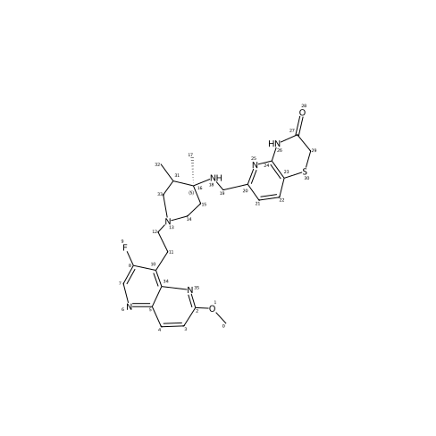 COc1ccc2ncc(F)c(CCN3CC[C@](C)(NCc4ccc5c(n4)NC(=O)CS5)C(C)C3)c2n1